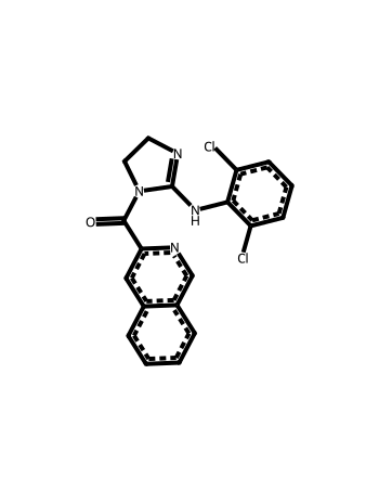 O=C(c1cc2ccccc2cn1)N1CCN=C1Nc1c(Cl)cccc1Cl